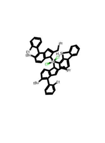 CCc1ccccc1-c1c(C(C)(C)C)ccc2c1C=C(CC(C)C)[CH]2[Zr]([Cl])([Cl])([c]1cccc2c1[SiH2]c1ccccc1-2)[CH]1C(CC(C)C)=Cc2c1ccc(C(C)(C)C)c2-c1ccccc1CC